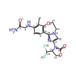 Cc1c(NCC(N)=O)ccc2c1OCCn1cc(N3C(=O)OCC3C(F)F)nc1-2